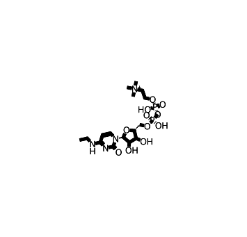 CCNc1ccn([C@@H]2O[C@H](COP(=O)(O)OP(=O)(O)OCC[N+](C)(C)C)C(O)C2O)c(=O)n1